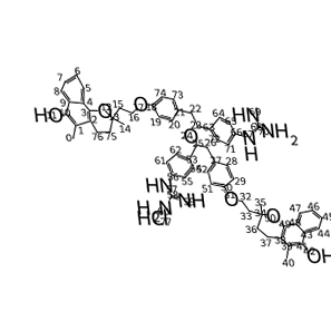 Cc1c2c(c3ccccc3c1O)OC(C)(CCOc1ccc(CC(OC(Cc3ccc(OCCC4(C)CCc5c(C)c(O)c6ccccc6c5O4)cc3)c3ccc(NC(=N)N)cc3)c3ccc(NC(=N)N)cc3)cc1)CC2.Cl